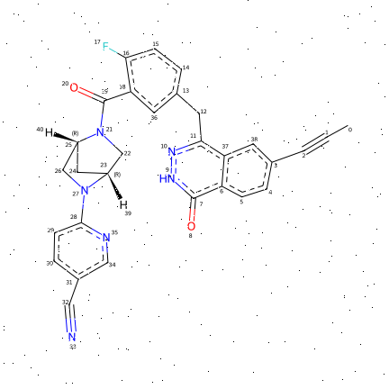 CC#Cc1ccc2c(=O)[nH]nc(Cc3ccc(F)c(C(=O)N4C[C@H]5C[C@@H]4CN5c4ccc(C#N)cn4)c3)c2c1